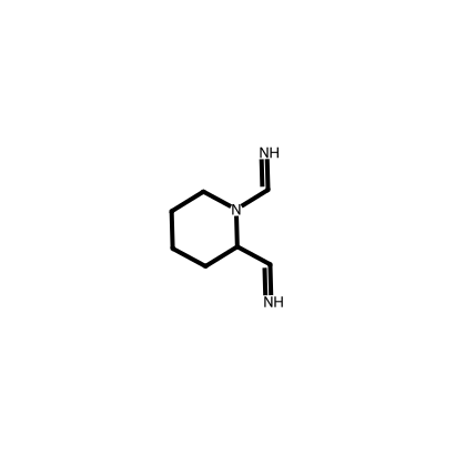 N=CC1CCCCN1C=N